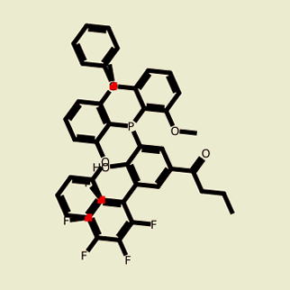 CCCC(=O)c1cc(-c2c(F)c(F)c(F)c(F)c2F)c(O)c(P(c2c(OC)cccc2OC)c2c(Oc3ccccc3)cccc2Oc2ccccc2)c1